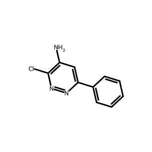 Nc1cc(-c2ccccc2)nnc1Cl